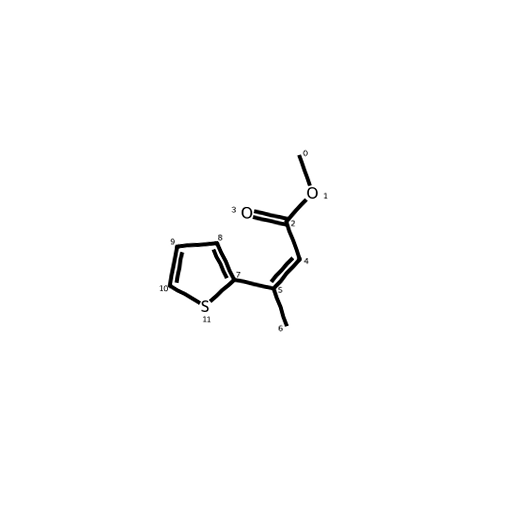 COC(=O)/C=C(/C)c1cccs1